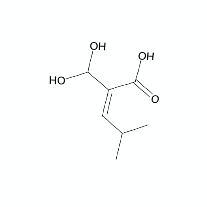 CC(C)C=C(C(=O)O)C(O)O